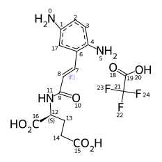 Nc1ccc(N)c(/C=C/C(=O)N[C@@H](CCC(=O)O)C(=O)O)c1.O=C(O)C(F)(F)F